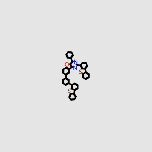 c1ccc(-c2nc(-c3cccc4c3sc3ccccc34)nc3c2oc2ccc(-c4cccc(-c5cccc6c5sc5ccccc56)c4)cc23)cc1